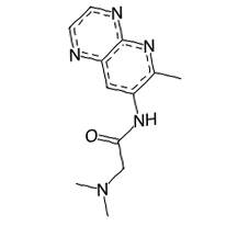 Cc1nc2nccnc2cc1NC(=O)CN(C)C